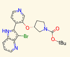 CC(C)(C)OC(=O)N1CC[C@@H](Oc2cnccc2-c2[nH]c3cccnc3c2Br)C1